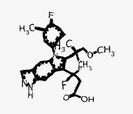 COCC(C)(C)c1c(C(F)(F)CC(=O)O)c2cc3[nH]ncc3cc2n1-c1ccc(F)c(C)c1